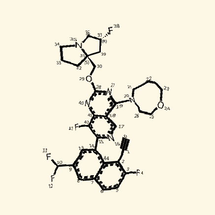 C#Cc1c(F)ccc2cc(C(F)F)cc(-c3ncc4c(N5CCCOCC5)nc(OC[C@@]56CCCN5C[C@H](F)C6)nc4c3F)c12